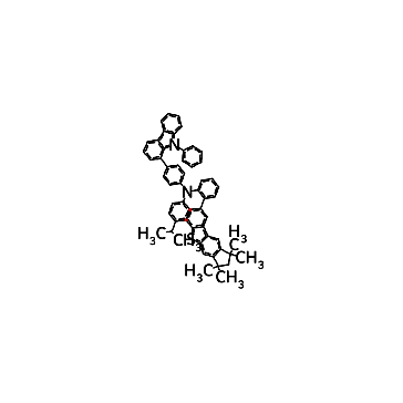 CC(C)c1ccc(N(c2ccc(-c3cccc4c5ccccc5n(-c5ccccc5)c34)cc2)c2ccccc2-c2ccc3sc4cc5c(cc4c3c2)C(C)(C)CC5(C)C)cc1